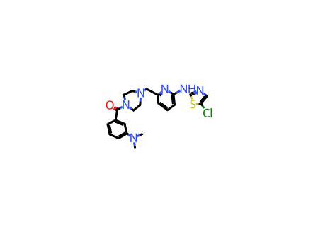 CN(C)c1cccc(C(=O)N2CCN(Cc3cccc(Nc4ncc(Cl)s4)n3)CC2)c1